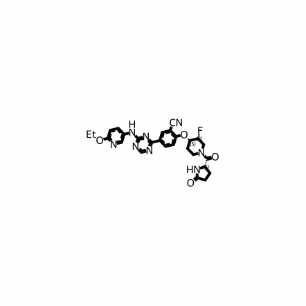 CCOc1ccc(Nc2ncnc(-c3ccc(O[C@H]4CCN(C(=O)[C@@H]5CCC(=O)N5)C[C@H]4F)c(C#N)c3)n2)cn1